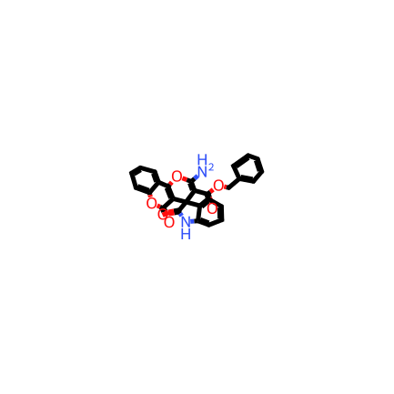 NC1=C(C(=O)OCc2ccccc2)C2(C(=O)Nc3ccccc32)c2c(c3ccccc3oc2=O)O1